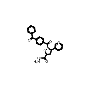 NNC(=O)C1CC(c2cccnc2)N(C(=O)c2ccc(C(=O)c3ccccc3)cc2)O1